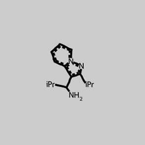 CC(C)c1nn2ccccc2c1C(N)C(C)C